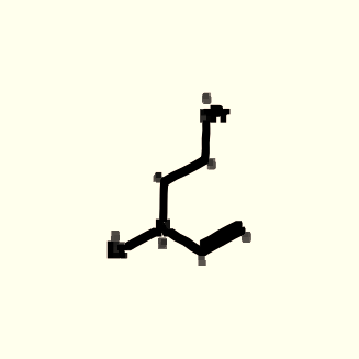 C=CN(CC)CCCCC